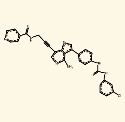 Nc1ncc(C#CCNC(=O)c2ccncc2)c2scc(-c3ccc(NC(=O)Nc4cccc(Cl)c4)cc3)c12